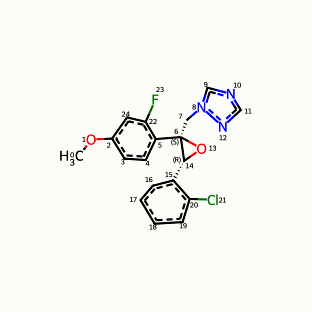 COc1ccc([C@@]2(Cn3cncn3)O[C@@H]2c2ccccc2Cl)c(F)c1